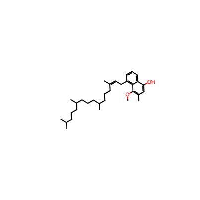 COc1c(C)cc(O)c2cccc(CC=C(C)CCCC(C)CCCC(C)CCCC(C)C)c12